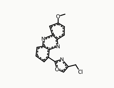 COc1ccc2nc3c(-c4nc(CCl)co4)cccc3nc2c1